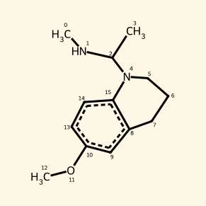 CNC(C)N1CCCc2cc(OC)ccc21